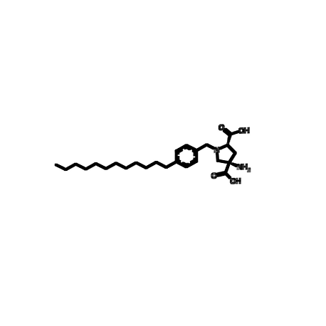 CCCCCCCCCCCCc1ccc(CN2C[C@@](N)(C(=O)O)C[C@@H]2C(=O)O)cc1